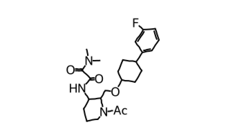 CC(=O)N1CCCC(NC(=O)C(=O)N(C)C)C1COC1CCC(c2cccc(F)c2)CC1